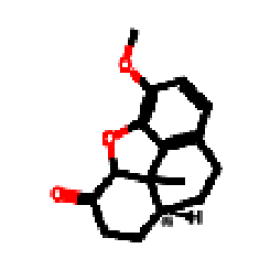 COc1ccc2c3c1OC1C(=O)CC[C@H](CC2)C31C